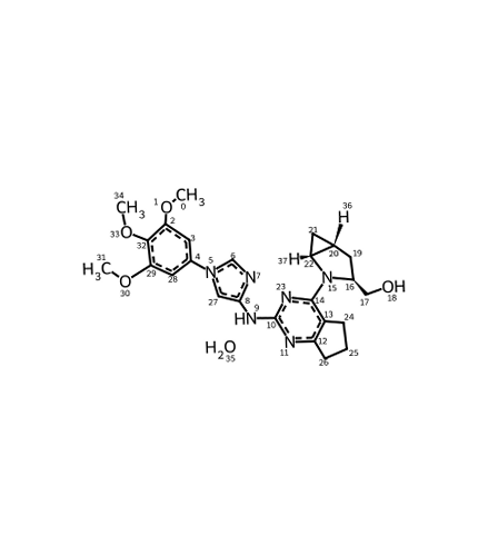 COc1cc(-n2cnc(Nc3nc4c(c(N5[C@H](CO)C[C@H]6C[C@H]65)n3)CCC4)c2)cc(OC)c1OC.O